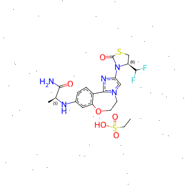 CCS(=O)(=O)O.C[C@H](Nc1ccc2c(c1)OCCn1cc(N3C(=O)SC[C@H]3C(F)F)nc1-2)C(N)=O